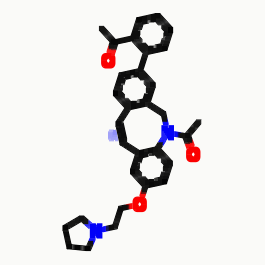 CC(=O)c1ccccc1-c1ccc2c(c1)CN(C(C)=O)c1ccc(OCCN3CCCC3)cc1/C=C\2